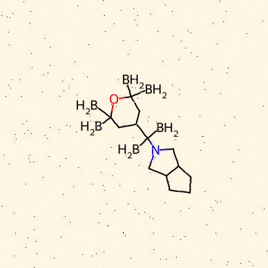 BC1(B)CC(C(B)(B)N2CC3CCCC3C2)CC(B)(B)O1